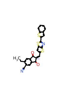 CCc1cc2c(cc1C#N)C(=O)/C(=C/c1cc3sc(-c4cc5ccccc5s4)nc3s1)C2=O